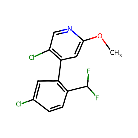 COc1cc(-c2cc(Cl)ccc2C(F)F)c(Cl)cn1